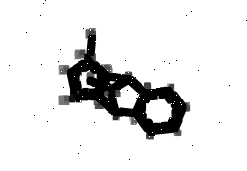 CN1C2c3ccccc3C1c1c2ncn1C